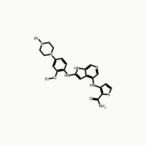 CCOc1cc(N2CCN(C(C)C)CC2)ccc1Nc1cc2c(Nc3ccsc3C(N)=O)cncc2[nH]1